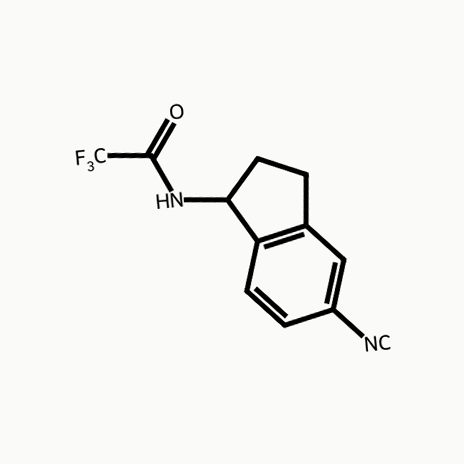 [C-]#[N+]c1ccc2c(c1)CCC2NC(=O)C(F)(F)F